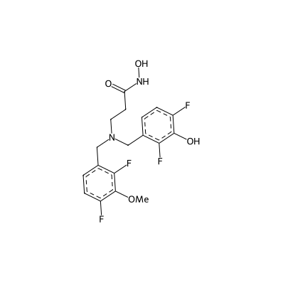 COc1c(F)ccc(CN(CCC(=O)NO)Cc2ccc(F)c(O)c2F)c1F